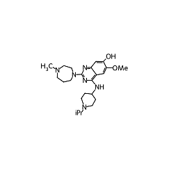 COc1cc2c(NC3CCN(C(C)C)CC3)nc(N3CCCN(C)CC3)nc2cc1O